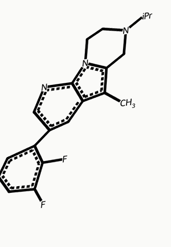 Cc1c2n(c3ncc(-c4cccc(F)c4F)cc13)CCN(C(C)C)C2